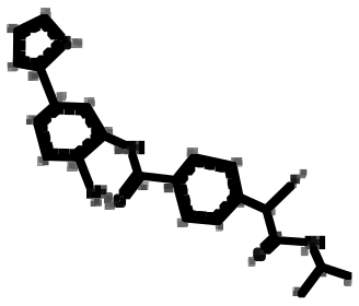 CC(C)NC(=O)C(F)c1ccc(C(=O)Nc2cc(-c3cccs3)ccc2N)cc1